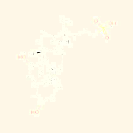 C[C@H](CCCS(=O)(=O)O)[C@H]1CC[C@H]2[C@@H]3C(O)CC4CC(O)CC[C@]4(C)[C@H]3CC[C@]12C